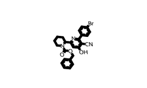 N#Cc1c(O)cc(C2CCCCN2C(=O)OCc2ccccc2)nc1-c1ccc(Br)cc1